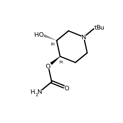 CC(C)(C)N1CC[C@@H](OC(N)=O)[C@H](O)C1